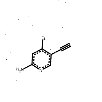 C#Cc1cnc(N)cc1CC